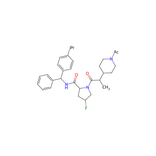 CC(=O)N1CCC(C(C)C(=O)N2CC(F)CC2C(=O)NC(c2ccccc2)c2ccc(C(C)C)cc2)CC1